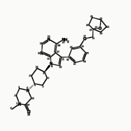 CN1CCN([C@H]2CC[C@H](n3cc(-c4cccc(OCC56CCC(CC5)O6)c4)c4c(N)ncnc43)CC2)CC1=O